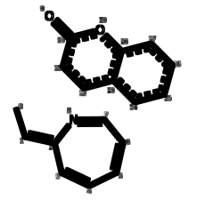 CC=C1C=CC=CC=N1.O=c1ccc2ccccc2o1